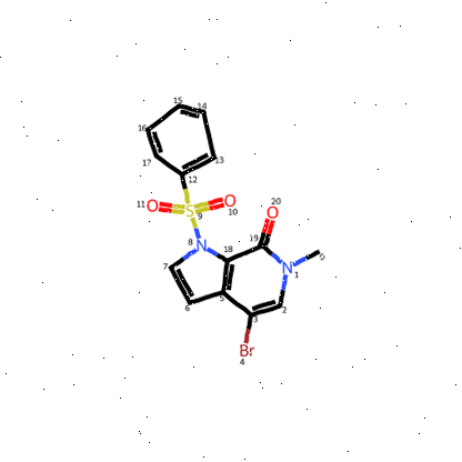 Cn1cc(Br)c2ccn(S(=O)(=O)c3ccccc3)c2c1=O